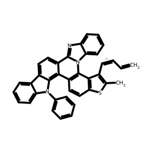 C=C/C=C\c1c(C)sc2ccc3c4c(ccc5c6ccccc6n(-c6ccccc6)c54)c4nc5ccccc5n4c3c12